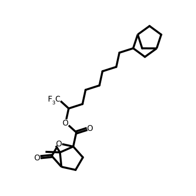 CC1(C)C2CCC1(C(=O)OC(CCCCCCC1CC3CCC1C3)C(F)(F)F)OC2=O